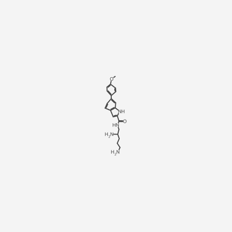 COc1ccc(-c2ccc3cc(C(=O)NCC(N)CCCN)[nH]c3c2)cc1